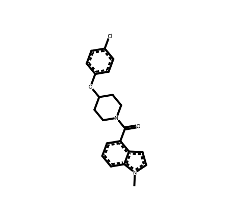 Cn1ccc2c(C(=O)N3CCC(Oc4ccc(Cl)cc4)CC3)cccc21